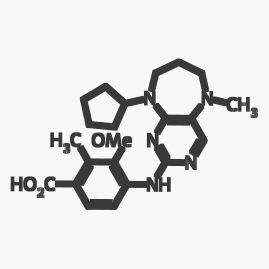 COc1c(Nc2ncc3c(n2)N(C2CCCC2)CCCN3C)ccc(C(=O)O)c1C